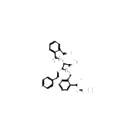 COC(=O)c1ccccc1CN1C(=O)[C@H](N2C(=O)c3ccccc3C2=O)[C@@H]1C=Cc1ccccc1